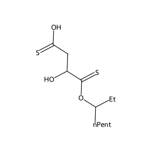 CCCCCC(CC)OC(=S)C(O)CC(O)=S